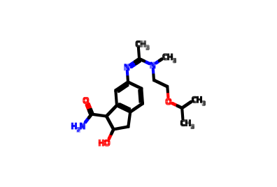 CC(=Nc1ccc2c(c1)C(C(N)=O)C(O)C2)N(C)CCOC(C)C